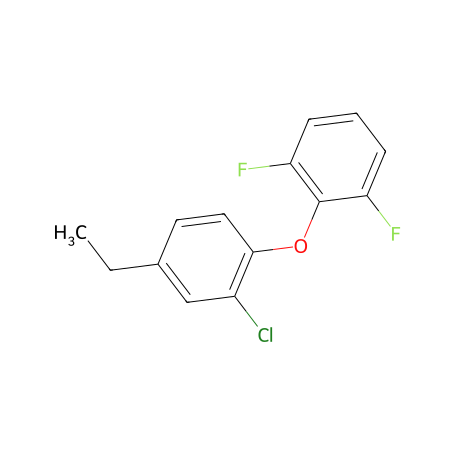 CCc1ccc(Oc2c(F)cccc2F)c(Cl)c1